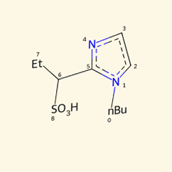 CCCCn1ccnc1C(CC)S(=O)(=O)O